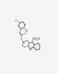 O=C(O)c1c2c(nc3ccccc13)CCN(CC1=Cc3cc(Cl)ccc3OC1)C2